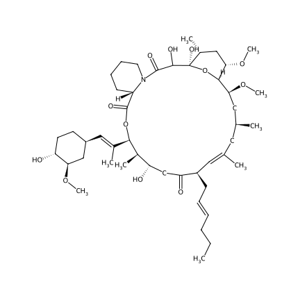 CCC/C=C/C[C@@H]1/C=C(\C)C[C@H](C)C[C@H](OC)[C@H]2O[C@@](O)(C(O)C(=O)N3CCCC[C@H]3C(=O)O[C@H](/C(C)=C/[C@@H]3CC[C@@H](O)[C@H](OC)C3)[C@H](C)[C@@H](O)CC1=O)[C@H](C)C[C@@H]2OC